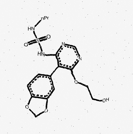 CCCNS(=O)(=O)Nc1ncnc(OCCO)c1-c1ccc2c(c1)OCO2